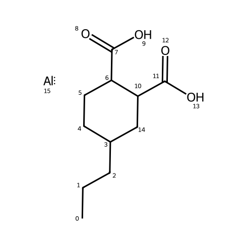 CCCC1CCC(C(=O)O)C(C(=O)O)C1.[Al]